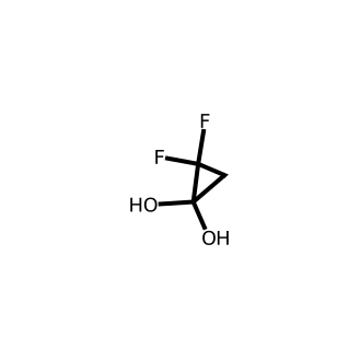 OC1(O)CC1(F)F